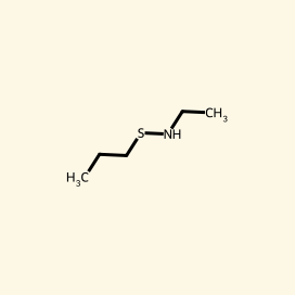 CCCSNCC